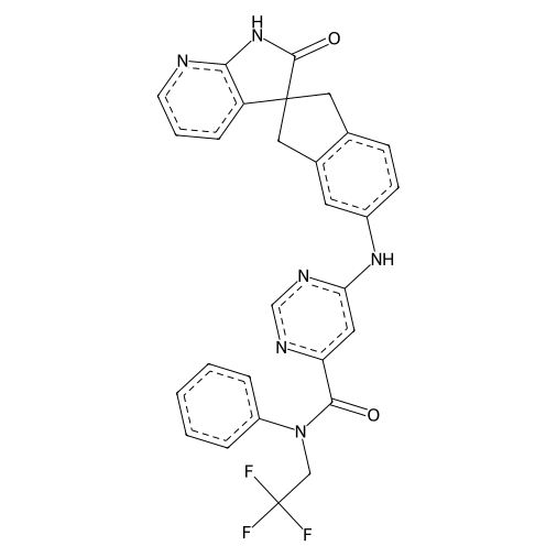 O=C(c1cc(Nc2ccc3c(c2)CC2(C3)C(=O)Nc3ncccc32)ncn1)N(CC(F)(F)F)c1ccccc1